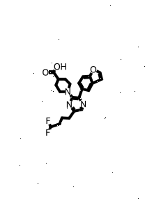 O=C(O)C1CCN(c2nc(CCCC(F)F)cnc2-c2ccc3occc3c2)CC1